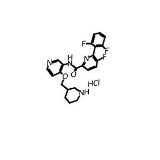 Cl.O=C(Nc1cnccc1OCC1CCCNC1)c1ccc(F)c(-c2c(F)cccc2F)n1